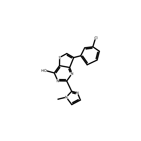 Cn1ccnc1-c1nc(O)c2scc(-c3cccc(Cl)c3)c2n1